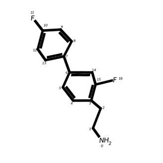 NCCc1ccc(-c2ccc(F)cc2)cc1F